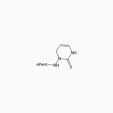 CCCCCNN1CC=CNC1=S